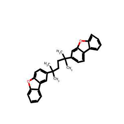 CC(C)(CCC(C)(C)c1ccc2oc3ccccc3c2c1)c1ccc2c(c1)oc1ccccc12